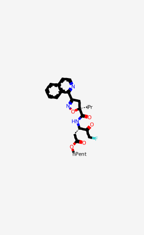 CCCCCOC(=O)C[C@H](NC(=O)[C@]1(C(C)C)CC(c2nccc3ccccc23)=NO1)C(=O)CF